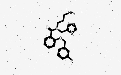 NCCCN(Cc1cccs1)C(=O)c1ccccc1OCc1cccc(F)c1